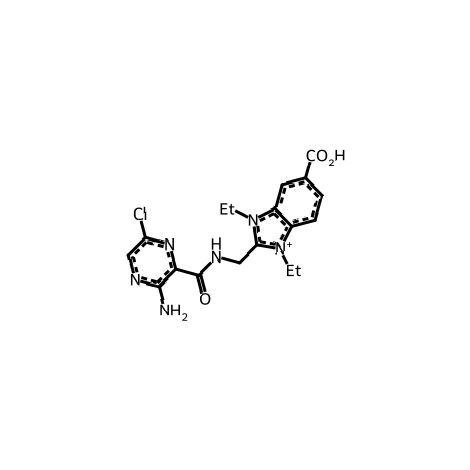 CCn1c(CNC(=O)c2nc(Cl)cnc2N)[n+](CC)c2ccc(C(=O)O)cc21